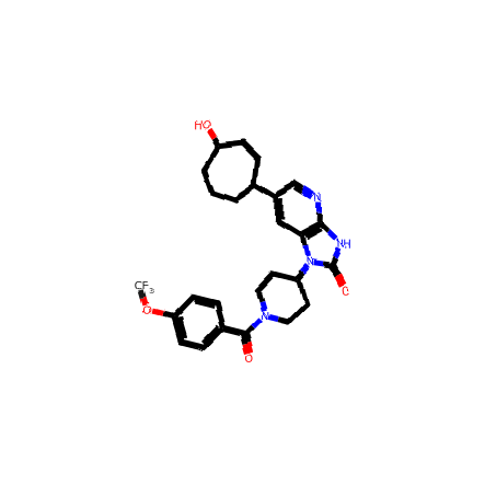 O=C(c1ccc(OC(F)(F)F)cc1)N1CCC(n2c(=O)[nH]c3ncc(C4CCCC(O)CC4)cc32)CC1